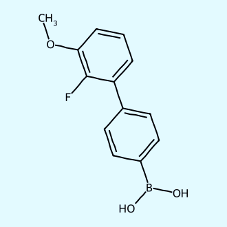 COc1cccc(-c2ccc(B(O)O)cc2)c1F